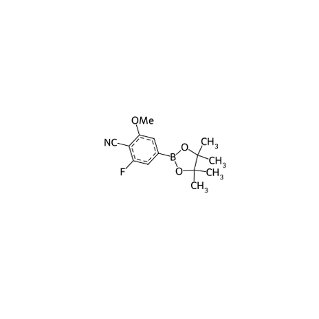 COc1cc(B2OC(C)(C)C(C)(C)O2)cc(F)c1C#N